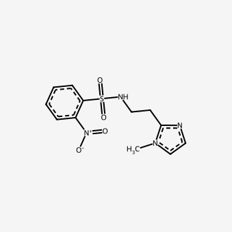 Cn1ccnc1CCNS(=O)(=O)c1ccccc1[N+](=O)[O-]